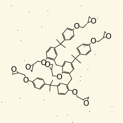 CC(C)(c1ccc(OCC2CO2)cc1)c1ccc(OCC2CO2)c(Cc2cc(C(C)(C)c3ccc(OCC4CO4)cc3)cc(Cc3cc(C(C)(C)c4ccc(OCC5CO5)cc4)ccc3OCC3CO3)c2OCC2CO2)c1